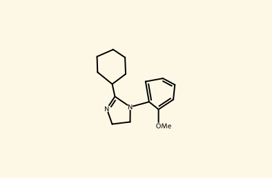 COc1ccccc1N1CCN=C1C1CCCCC1